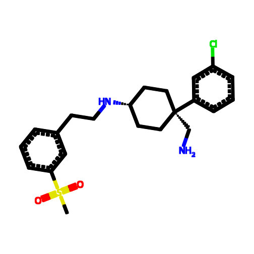 CS(=O)(=O)c1cccc(CCN[C@H]2CC[C@](CN)(c3cccc(Cl)c3)CC2)c1